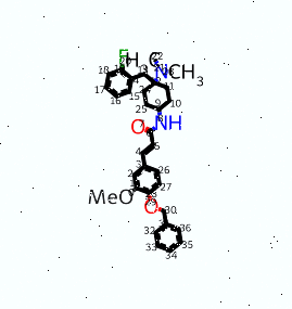 COc1cc(/C=C/C(=O)NC2CCC(Cc3ccccc3F)(N(C)C)CC2)ccc1OCc1ccccc1